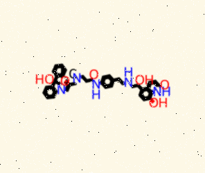 CN(CCC(=O)Nc1ccc(CCNCC(O)c2ccc(O)c3[nH]c(=O)ccc23)cc1)Cc1cnc(C(O)(c2ccccc2)c2ccccc2)o1